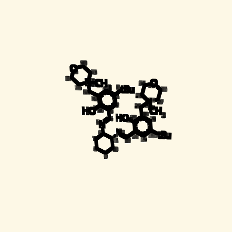 CC(C)(C)c1cc(/C=N/C2CCCC[C@H]2/N=C/c2cc(C(C)(C)C)cc(C[N+]3(C)CCOCC3)c2O)c(O)c(C[N+]2(C)CCOCC2)c1